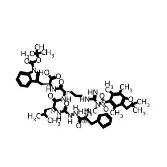 Cc1c(C)c(S(=O)(=O)N(C)C(=N)NCCC[C@H](NC(=O)[C@H](CC(C)C)NC(=O)NNC(=O)[C@@H](N)Cc2ccccc2)C(=O)N[C@@H](Cc2cn(C(=O)OC(C)(C)C)c3ccccc23)C(=O)O)c(C)c2c1OC(C)(C)C2